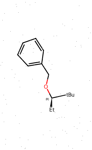 CC[C@@H](OCc1ccccc1)C(C)(C)C